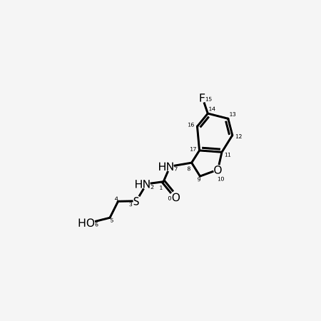 O=C(NSCCO)NC1COc2ccc(F)cc21